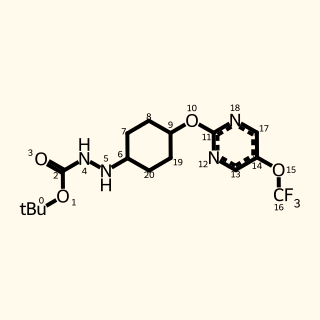 CC(C)(C)OC(=O)NNC1CCC(Oc2ncc(OC(F)(F)F)cn2)CC1